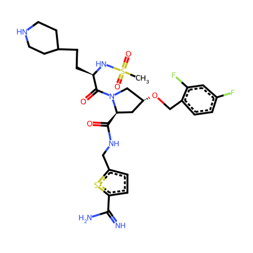 CS(=O)(=O)N[C@H](CCC1CCNCC1)C(=O)N1C[C@H](OCc2ccc(F)cc2F)C[C@H]1C(=O)NCc1ccc(C(=N)N)s1